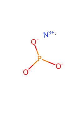 [N+3].[O-]P([O-])[O-]